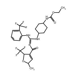 CCOC(=O)NC1CCC(N/C(=N\C(=O)C2=CC(C)OC2C(F)(F)F)Nc2ccccc2C(F)(F)F)CC1